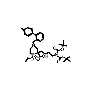 CCOP1(=O)CCN(Cc2ccccc2-c2ccc(C)cc2)CC1(CCCCN(C(=O)OC(C)(C)C)C(=O)OC(C)(C)C)C(=O)O